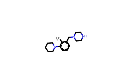 Cc1c(CN2CCNCC2)cccc1N1CCCCC1